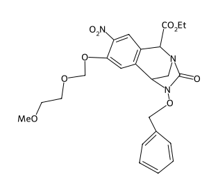 CCOC(=O)C1c2cc([N+](=O)[O-])c(OCOCCOC)cc2C2CN1C(=O)N2OCc1ccccc1